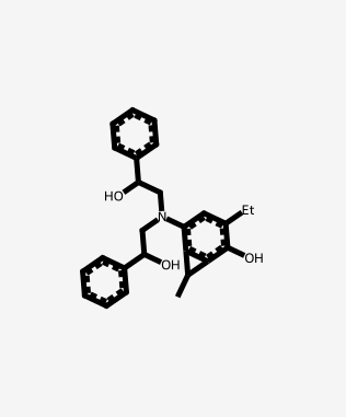 CCc1cc(N(CC(O)c2ccccc2)CC(O)c2ccccc2)c2c(c1O)C2C